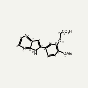 COc1ccc(-c2cc3nccnc3[nH]2)cc1OCC(=O)O